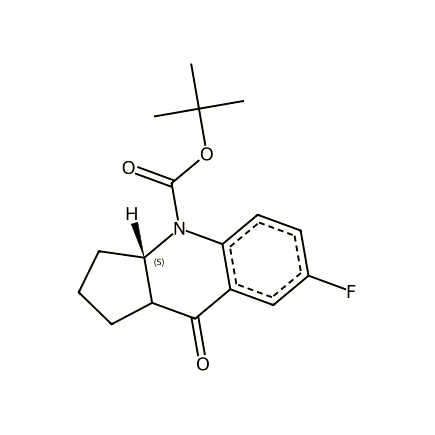 CC(C)(C)OC(=O)N1c2ccc(F)cc2C(=O)C2CCC[C@@H]21